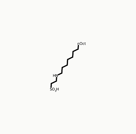 CCCCCCCCCCCCCCCNCCS(=O)(=O)O